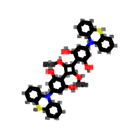 COOC1C(c2c(O)cc(N3c4ccccc4Sc4ccccc43)cc2O)C(OOC)C1c1c(O)cc(N2c3ccccc3Sc3ccccc32)cc1O